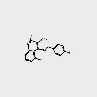 CC(=O)Oc1c(C)nc2cccc(C)c2c1NCc1ccc(Br)cc1